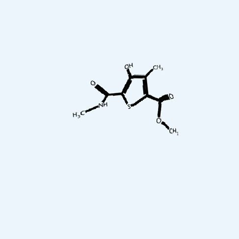 CNC(=O)c1sc(C(=O)OC)c(C)c1O